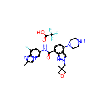 Cc1cn2cc(NC(=O)c3ccc(N4CCNCC4)c4cn(CC5(C)COC5)nc34)cc(F)c2n1.O=C(O)C(F)(F)F